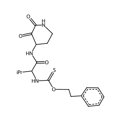 CC(C)C(NC(=S)OCCc1ccccc1)C(=O)NC1CCNC(=O)C1=O